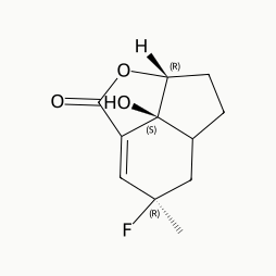 C[C@]1(F)C=C2C(=O)O[C@@H]3CCC(C1)[C@]23O